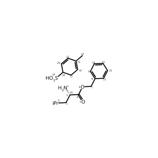 CC(C)C[C@H](N)C(=O)OCc1ccccc1.CC1=CCC(S(=O)(=O)O)C=C1